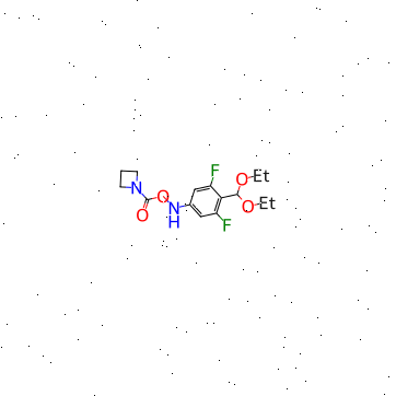 CCOC(OCC)c1c(F)cc(NOC(=O)N2CCC2)cc1F